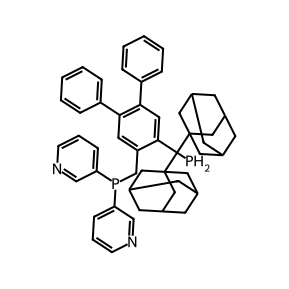 PC(c1cc(-c2ccccc2)c(-c2ccccc2)cc1CP(c1cccnc1)c1cccnc1)(C12CC3CC(CC(C3)C1)C2)C12CC3CC(CC(C3)C1)C2